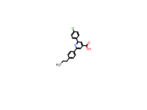 CCCc1ccc(-c2cc(C(=O)O)cc(-c3ccc(Cl)cc3)n2)cc1